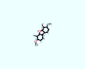 CCCc1ccc2c(oc3c(C)c(OCC)ccc32)c1C